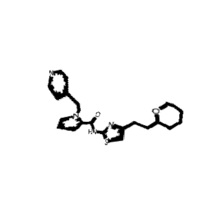 O=C(Nc1nc(CCC2CCCCO2)cs1)c1cccn1Cc1ccncc1